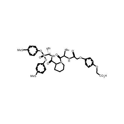 CCC[C@H](NC(=O)C1CCCCN1C(=O)C(NC(=O)COc1ccc(OCC(=O)O)cc1)C(C)(C)C)P(=O)(Oc1ccc(SC)cc1)Oc1ccc(SC)cc1